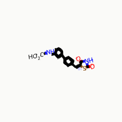 O=C(O)NCc1cccc(-c2ccc(/C=C3/SC(=O)NC3=O)cc2)c1